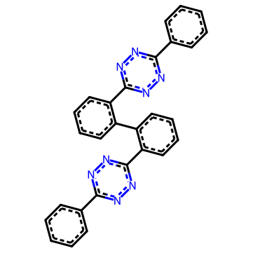 c1ccc(-c2nnc(-c3ccccc3-c3ccccc3-c3nnc(-c4ccccc4)nn3)nn2)cc1